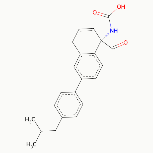 CC(C)Cc1ccc(-c2ccc3c(c2)CC=C[C@]3(C=O)NC(=O)O)cc1